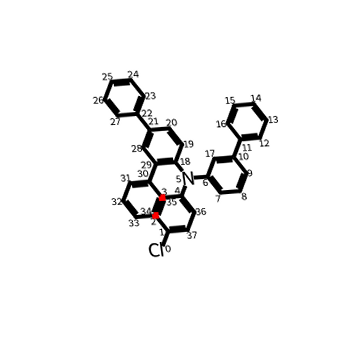 Clc1ccc(N(c2cccc(-c3ccccc3)c2)c2ccc(-c3ccccc3)cc2-c2ccccc2)cc1